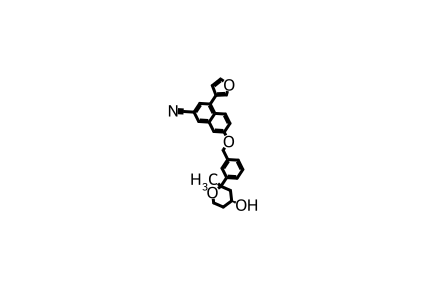 CC1(c2cccc(COc3ccc4c(-c5ccoc5)cc(C#N)cc4c3)c2)C[C@@H](O)CCO1